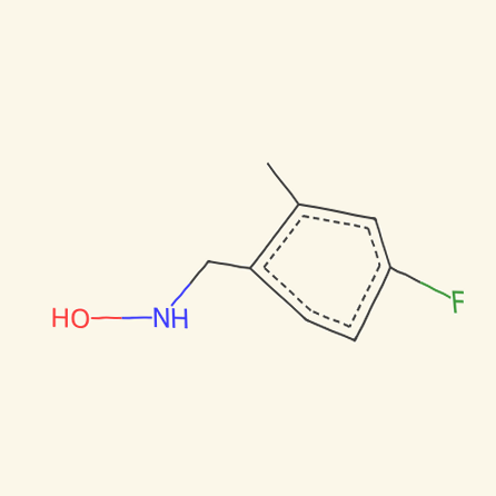 Cc1cc(F)ccc1CNO